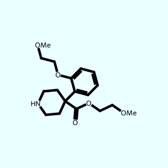 COCCOC(=O)C1(c2ccccc2OCCOC)CCNCC1